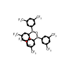 FC(F)(F)c1cc(B(OB(c2cc(C(F)(F)F)cc(C(F)(F)F)c2)c2cc(C(F)(F)F)cc(C(F)(F)F)c2)c2cc(C(F)(F)F)cc(C(F)(F)F)c2)cc(C(F)(F)F)c1